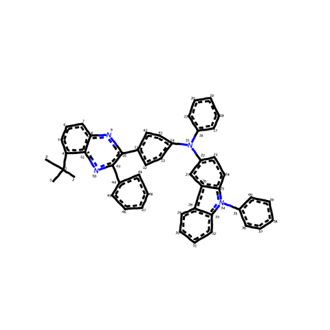 CC(C)(C)c1cccc2nc(-c3ccc(N(c4ccccc4)c4ccc5c(c4)c4ccccc4n5-c4ccccc4)cc3)c(-c3ccccc3)nc12